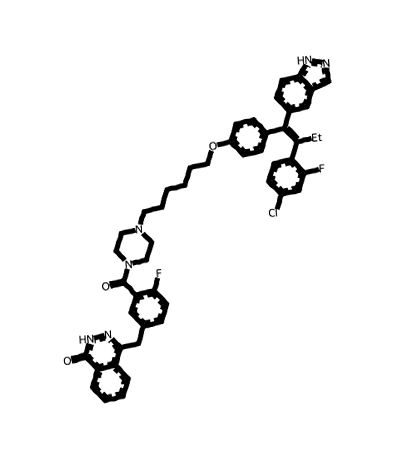 CCC(=C(c1ccc(OCCCCCCN2CCN(C(=O)c3cc(Cc4n[nH]c(=O)c5ccccc45)ccc3F)CC2)cc1)c1ccc2[nH]ncc2c1)c1ccc(Cl)cc1F